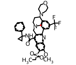 CCS(=O)(=O)c1cc2c(C(=O)NC3(c4ccccc4)CC3)c(CN3CCC(N4CCOCC4)CC3)c(-c3cccc(C(F)(F)F)c3)nc2cc1OC